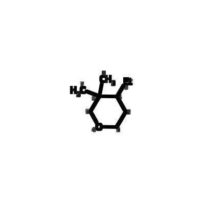 CCC1CCOCC1(C)C